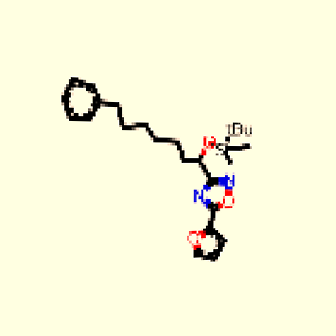 CC(C)(C)[Si](C)(C)OC(CCCCCCc1ccccc1)c1noc(-c2ccco2)n1